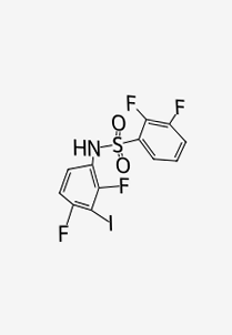 O=S(=O)(Nc1ccc(F)c(I)c1F)c1cccc(F)c1F